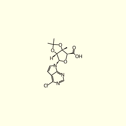 CC1(C)O[C@H]2[C@H](n3ccc4c(Cl)ncnc43)O[C@H](C(=O)O)[C@@]2(C)O1